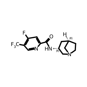 O=C(N[C@@H]1C[C@H]2CCN(C2)C1)c1cc(F)c(C(F)(F)F)cn1